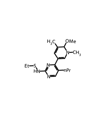 CCCc1cnc(NSCC)nc1C1=CN(C)C(OC)C(C)=C1